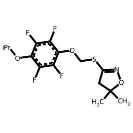 CC(C)Oc1c(F)c(F)c(OCSC2=NOC(C)(C)C2)c(F)c1F